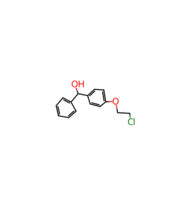 OC(c1ccccc1)c1ccc(OCCCl)cc1